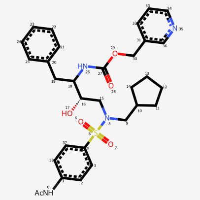 CC(=O)Nc1ccc(S(=O)(=O)N(CC2CCCC2)C[C@H](O)C(Cc2ccccc2)NC(=O)OCc2cccnc2)cc1